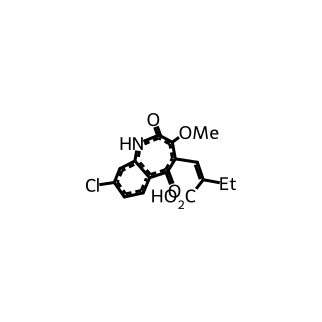 CCC(=Cc1c(OC)c(=O)[nH]c2cc(Cl)ccc2c1=O)C(=O)O